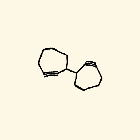 C1#CC(C2C#CCCCC2)CCCC1